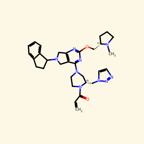 C=CC(=O)N1CCN(c2nc(OC[C@@H]3CCCN3C)nc3c2CN(C2CCc4ccccc42)C3)C[C@@H]1Cn1ccnn1